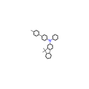 Cc1ccc(-c2ccc(N(c3ccccc3)c3ccc4c(c3)C(C)(C)c3ccccc3-4)cc2)cc1